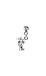 CC(C(=O)Nc1cc(C2CC2)[nH]n1)c1cccc(C2=CCN(C(=O)OC(C)(C)C)CC2)c1